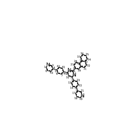 c1cncc(-c2ccc(-c3cc(-c4ccc(-c5cccnc5)cc4)nc(-c4ccc5c(ccc6ccccc65)c4)n3)cc2)c1